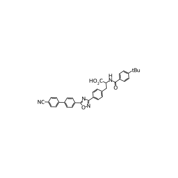 CC(C)(C)c1ccc(C(=O)NC(Cc2ccc(-c3noc(-c4ccc(-c5ccc(C#N)cc5)cc4)n3)cc2)C(=O)O)cc1